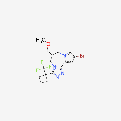 COCC1Cn2cc(Br)cc2-c2nnc(C3(C(F)(F)F)CCC3)n2C1